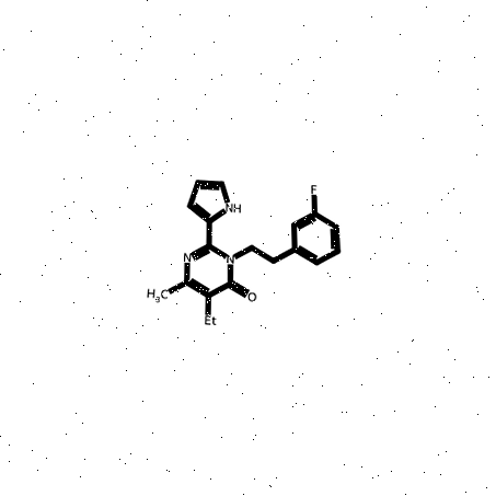 CCc1c(C)nc(-c2ccc[nH]2)n(CCc2cccc(F)c2)c1=O